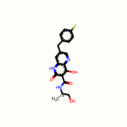 C[C@@H](CO)NC(=O)c1c(O)c2ncc(Cc3ccc(F)cc3)cc2[nH]c1=O